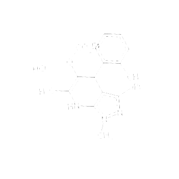 CCOC(=O)OC1=C(C)Nc2c(c(C(C)C)nn2C)C1c1ccccc1C.Cl